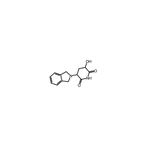 O=C1NC(=O)C(N2Cc3ccccc3C2)CC1O